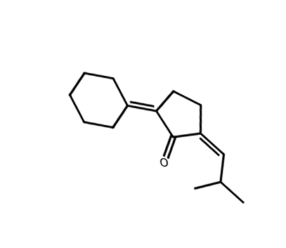 CC(C)C=C1CCC(=C2CCCCC2)C1=O